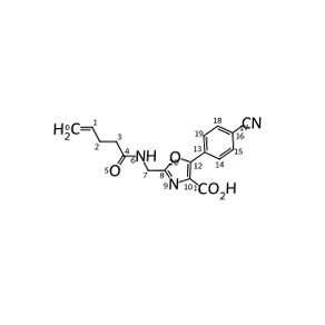 C=CCCC(=O)NCc1nc(C(=O)O)c(-c2ccc(C#N)cc2)o1